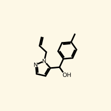 C=CCn1nccc1C(O)c1ccc(C)cc1